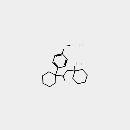 CCCCCCCOc1ccc(C2(C(C#N)CC3(CCCCC)CCCCC3)CCCCC2)cc1